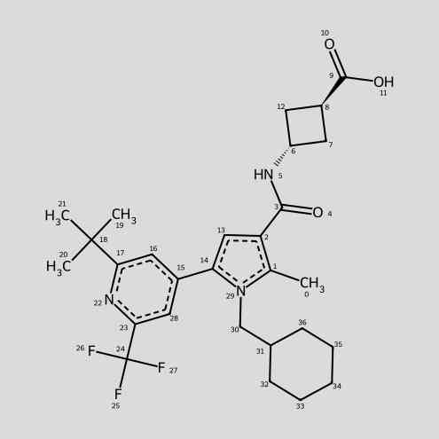 Cc1c(C(=O)N[C@H]2C[C@H](C(=O)O)C2)cc(-c2cc(C(C)(C)C)nc(C(F)(F)F)c2)n1CC1CCCCC1